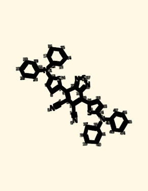 N#Cc1c(C#N)c(-c2ccc(N(c3ccccc3)c3ccccc3)s2)c2nsnc2c1-c1ccc(N(c2ccccc2)c2ccccc2)s1